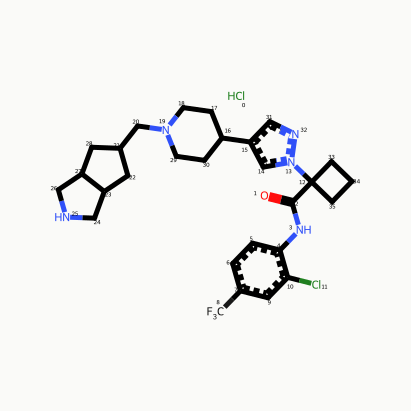 Cl.O=C(Nc1ccc(C(F)(F)F)cc1Cl)C1(n2cc(C3CCN(CC4CC5CNCC5C4)CC3)cn2)CCC1